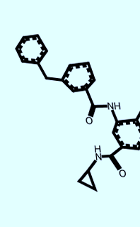 Cc1ccc(C(=O)NC2CC2)cc1NC(=O)c1cccc(Cc2ccccc2)c1